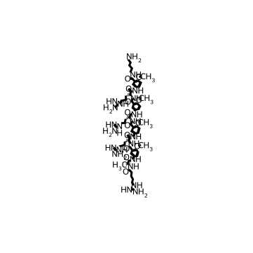 COc1ccc(NC(=O)[C@@H](CCCNC(=N)N)NC(=O)c2cc(NC(=O)[C@@H](CCCNC(=N)N)NC(=O)c3cc(NC(=O)[C@@H](CCCNC(=N)N)NC(=O)c4cc(NC(=O)[C@@H](C)NC(=O)CCCCNC(=N)N)ccc4OC)ccc3OC)ccc2OC)cc1C(=O)NCCCCCN